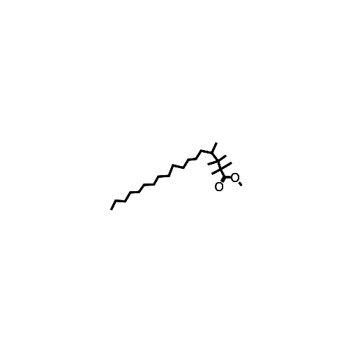 CCCCCCCCCCCCCCC(C)C(C)(C)C(C)(C)C(=O)OC